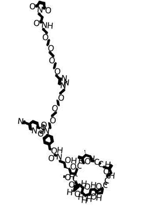 C=C1C[C@@H]2CC[C@@]34C[C@H]5O[C@@H]6C(O[C@H]7CC[C@H](CC(=O)C[C@H]8C(C[C@H]9O[C@@H](CC[C@@H]1O2)C[C@@H](C)C9=C)O[C@H](C[C@H](O)CNC(=O)OCc1ccc(N(CCOCCOCCOCCn2cc(COCCOCCOCCOCCNC(=O)CCN9C(=O)C=CC9=O)nn2)S(=O)(=O)c2ccc(C#N)cn2)cc1)[C@@H]8OC)O[C@@H]7[C@@H]6O3)[C@@H]5O4